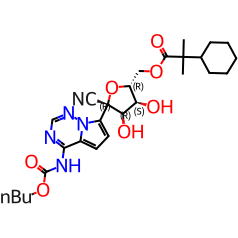 CCCCOC(=O)Nc1ncnn2c([C@]3(C#N)O[C@H](COC(=O)C(C)(C)C4CCCCC4)[C@@H](O)[C@H]3O)ccc12